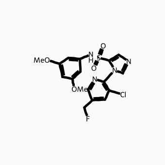 COc1cc(NS(=O)(=O)c2cncn2-c2ncc(CF)cc2Cl)cc(OC)c1